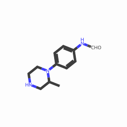 CC1CNCCN1c1ccc(NC=O)cc1